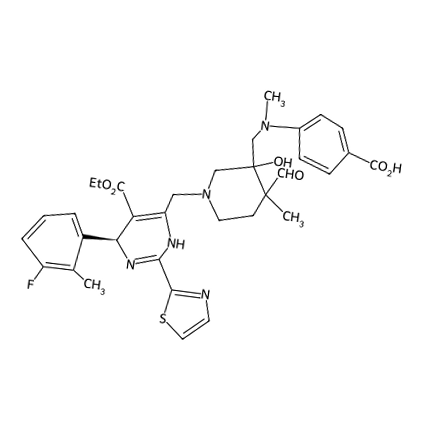 CCOC(=O)C1=C(CN2CCC(C)(C=O)C(O)(CN(C)c3ccc(C(=O)O)cc3)C2)NC(c2nccs2)=N[C@H]1c1cccc(F)c1C